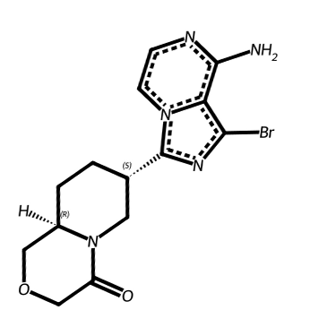 Nc1nccn2c([C@H]3CC[C@@H]4COCC(=O)N4C3)nc(Br)c12